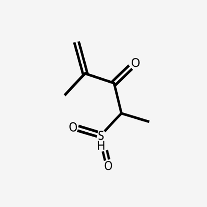 C=C(C)C(=O)C(C)[SH](=O)=O